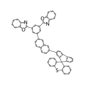 c1ccc2c(c1)Sc1ccccc1C21c2ccccc2-c2ccc(-c3ccc4ccc(-c5cc(-c6nc7ccccc7o6)cc(-c6nc7ccccc7o6)c5)cc4c3)cc21